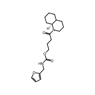 O=C(NCc1ccco1)OCCCC(=O)N1CCCC2CCCC[C@@H]21